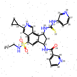 CC(C)CNS(=O)(=O)c1cc2c(c3cnc(C4CC4)cc13)C(NC(=S)Nc1cccnc1)CC2NC(=O)c1cccnc1